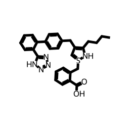 CCCCC1=C(Cc2ccc(-c3ccccc3-c3nnn[nH]3)cc2)C=S(Cc2ccccc2C(=O)O)N1